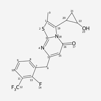 Cc1sc2nc(Cc3cccc(C(F)(F)F)c3F)cc(=O)n2c1C1CC1O